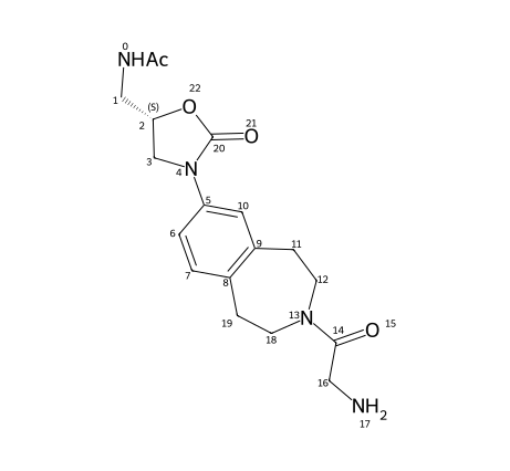 CC(=O)NC[C@H]1CN(c2ccc3c(c2)CCN(C(=O)CN)CC3)C(=O)O1